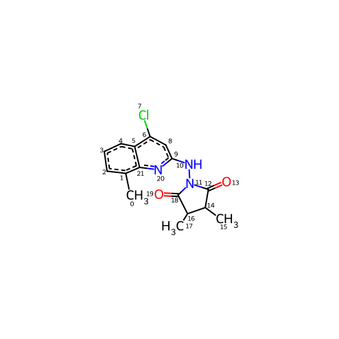 Cc1cccc2c(Cl)cc(NN3C(=O)C(C)C(C)C3=O)nc12